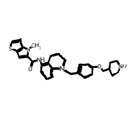 Cn1c(C(=O)Nc2cccc3c2CCCN3Cc2ccc(OCC3CCNCC3)cc2)cc2sccc21